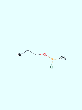 CP(Cl)OCCC#N